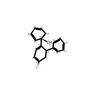 C[C@@]1(C2=CC=C(I)CC2c2ccccc2)C=CC=CC1